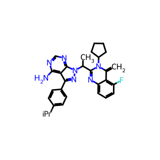 C=C1c2c(F)cccc2N=C(C(C)n2nc(-c3ccc(C(C)C)cc3)c3c(N)ncnc32)N1C1CCCC1